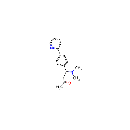 CC(=O)CC(c1ccc(-c2ccccn2)cc1)N(C)C